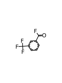 O=C(F)c1cccc(C(F)(F)F)c1